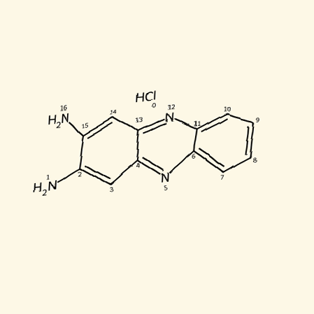 Cl.Nc1cc2nc3ccccc3nc2cc1N